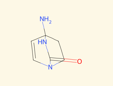 NC12C=CN(CC1)C(=O)N2